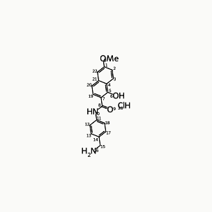 COc1ccc2c(O)c(C(=O)Nc3ccc(CN)cc3)ccc2c1.Cl